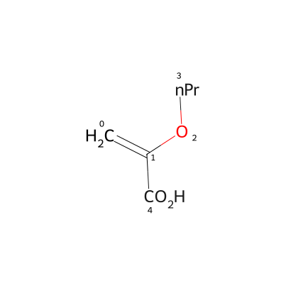 C=C(OCCC)C(=O)O